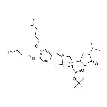 COCCCOc1cc(C[C@@H](C[C@H](NC(=O)OC(C)(C)C)C2CC(C(C)C)C(=O)O2)C(C)C)ccc1OCCCO